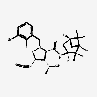 C[C@@H]1[C@@H](NC(=O)[C@@H]2[C@H]([C@H](C)O)[C@H](N=[N+]=[N-])ON2Cc2cccc(Br)c2F)C[C@H]2C[C@@H]1C2(C)C